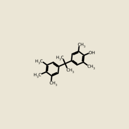 Cc1cc(C(C)(C)c2cc(C)c(O)c(C)c2)cc(C)c1C